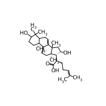 CC(C)=CCC[C@@H](C(=O)O)[C@H]1C(O)C[C@@]2(C)C3=CCC4C(C)(C)C(O)CC[C@]4(C)C3=CC[C@]12C